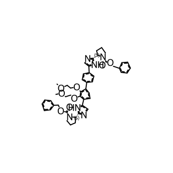 COCCOc1c(-c2ccc(-c3cnc([C@@H]4CCCN4C(=O)OCc4ccccc4)[nH]3)cc2)ccc(-c2cnc([C@@H]3CCCN3C(=O)OCc3ccccc3)[nH]2)c1OCCOC